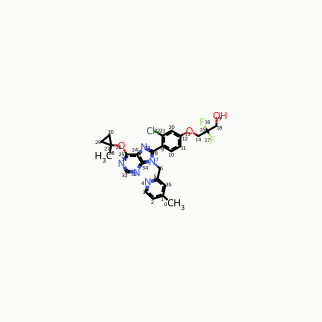 Cc1ccnc(Cn2c(-c3ccc(OCC(F)(F)CO)cc3Cl)nc3c(OC4(C)CC4)ncnc32)c1